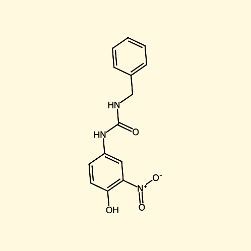 O=C(NCc1ccccc1)Nc1ccc(O)c([N+](=O)[O-])c1